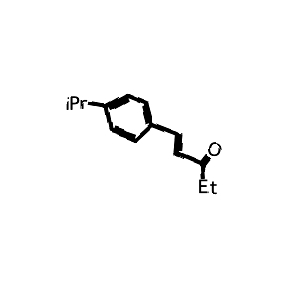 CCC(=O)/C=C/c1ccc(C(C)C)cc1